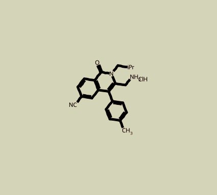 Cc1ccc(-c2c(CN)n(CC(C)C)c(=O)c3ccc(C#N)cc23)cc1.Cl